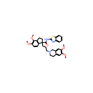 COc1cc2c(cc1OC)CN(CCCC1(C(=O)Nc3nc4ccccc4s3)CCc3c1ccc(OC)c3OC)CC2